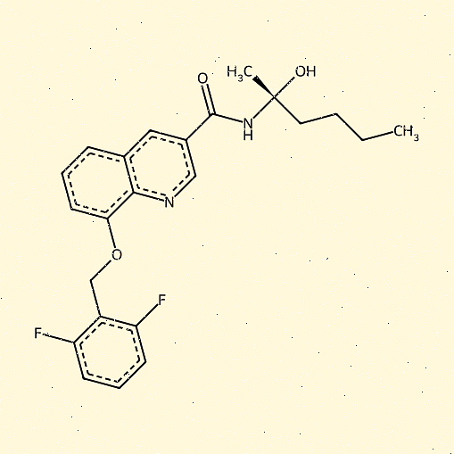 CCCC[C@@](C)(O)NC(=O)c1cnc2c(OCc3c(F)cccc3F)cccc2c1